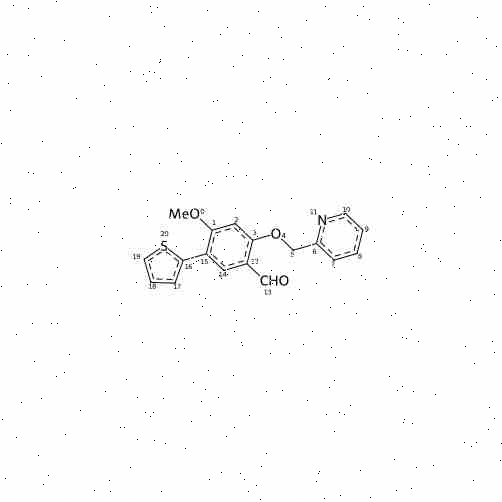 COc1cc(OCc2ccccn2)c(C=O)cc1-c1cccs1